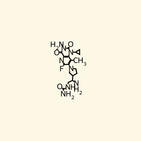 Cc1c(N2CCC(C(N)CNC(N)=O)C2)c(F)nc2c(=O)n(N)c(=O)n(C3CC3)c12